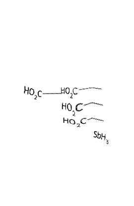 CC(=O)O.CC(=O)O.CC(=O)O.CC(=O)O.[SbH3]